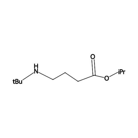 CC(C)OC(=O)CCCNC(C)(C)C